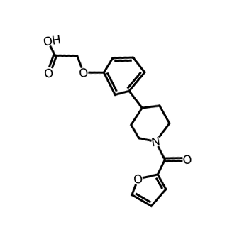 O=C(O)COc1cccc(C2CCN(C(=O)c3ccco3)CC2)c1